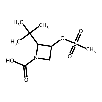 CC(C)(C)C1C(OS(C)(=O)=O)CN1C(=O)O